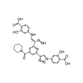 N=N/C(=C\Nc1ccc(C(=O)O)c(O)c1)c1cc(C(=O)N2CCCCC2)cc(-c2cn(-c3ccc(C(=O)O)c(O)c3)nn2)n1